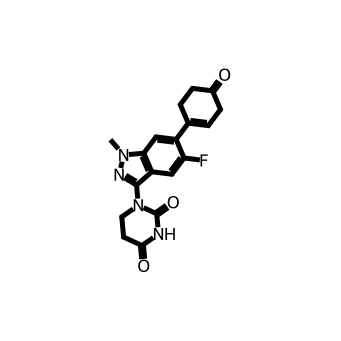 Cn1nc(N2CCC(=O)NC2=O)c2cc(F)c(C3=CCC(=O)CC3)cc21